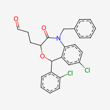 O=CCCC1OC(c2ccccc2Cl)c2cc(Cl)ccc2N(Cc2ccccc2)C1=O